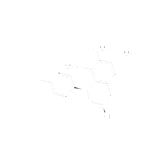 COc1cc2c(c(OC)c1OC)[C@H](c1ccc(F)cc1)O[C@H](C)C2